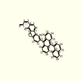 C=C/C=C\c1ccc2c(oc3ccc(-c4c5ccccc5c(-c5cccc6ccccc56)c5ccccc45)cc32)c1C